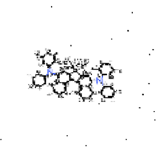 Cc1ccc(C)c(N(c2ccccc2)c2cc3c(c4ccccc24)-c2c(cc(N(c4ccccc4)c4cc(C)ccc4C)c4ccccc24)C3([Si](C)(C)C)[Si](C)(C)C)c1